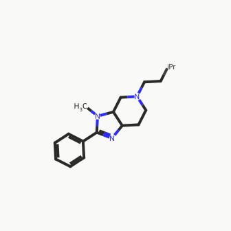 CC(C)CCN1CCC2N=C(c3ccccc3)N(C)C2C1